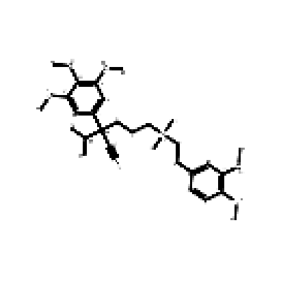 COc1ccc(CC[N+](C)(C)CCCC(C#N)(c2cc(OC)c(OC)c(OC)c2)C(C)C)cc1OC